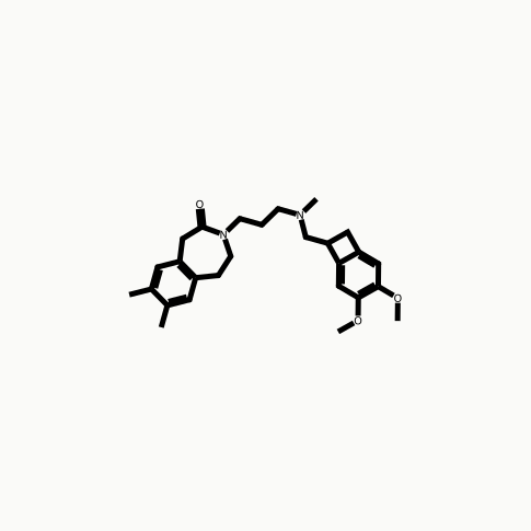 COc1cc2c(cc1OC)C(CN(C)CCCN1CCc3cc(C)c(C)cc3CC1=O)C2